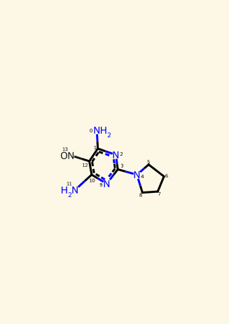 Nc1nc(N2CCCC2)nc(N)c1N=O